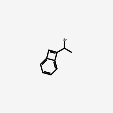 CC(Br)C1=Cc2ccccc21